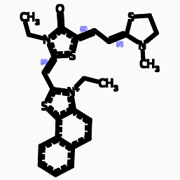 CCn1c(=O)/c(=C/C=C2\SCCN2C)s/c1=C\c1sc2c3ccccc3ccc2[n+]1CC